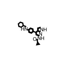 O=C(Nc1cc(-c2ccc(NCC3CCCCC3)cc2)c2cc[nH]c2n1)C1CC1